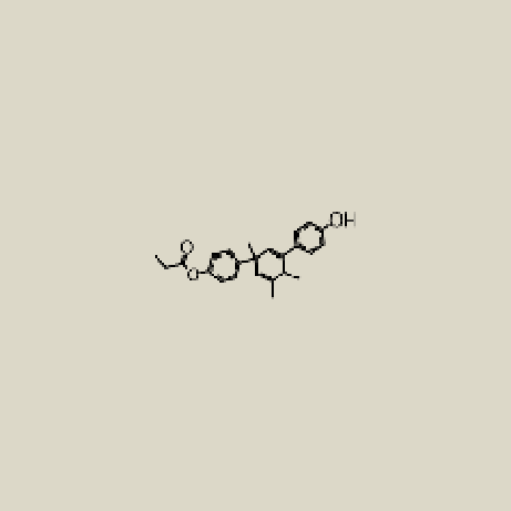 CCC(=O)Oc1ccc(C2(C)C=C(C)C(C)C(c3ccc(O)cc3)=C2)cc1